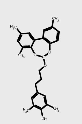 Cc1ccc2op(OCCCc3cc(C)c(O)c(C)c3)oc3c(C)cc(C)cc3c2c1